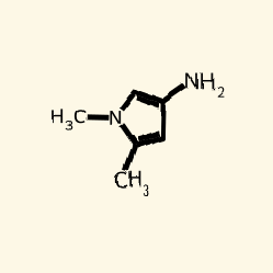 Cc1cc(N)cn1C